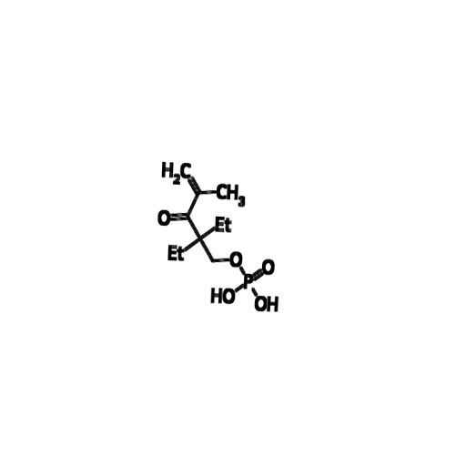 C=C(C)C(=O)C(CC)(CC)COP(=O)(O)O